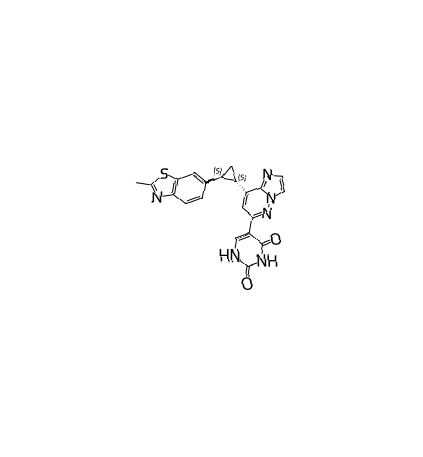 Cc1nc2ccc([C@H]3C[C@@H]3c3cc(-c4c[nH]c(=O)[nH]c4=O)nn4ccnc34)cc2s1